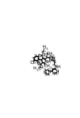 CCOC(=O)C1=C(C(OC)c2nnn(CCNc3cc(N4CCOCC4)ncn3)n2)NC(C)=C(C(=O)OC)C1c1cccc(Cl)c1Cl